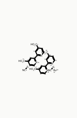 N#C[S-].N#C[S-].O=C(O)c1ccnc(-c2cc(C(=O)O)ccn2)c1.O=C(O)c1ccnc(-c2cc(C(=O)O)ccn2)c1.[Ru+2]